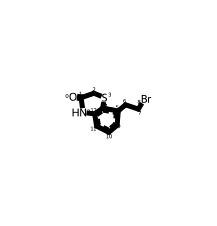 O=C1CSc2c(CCBr)cccc2N1